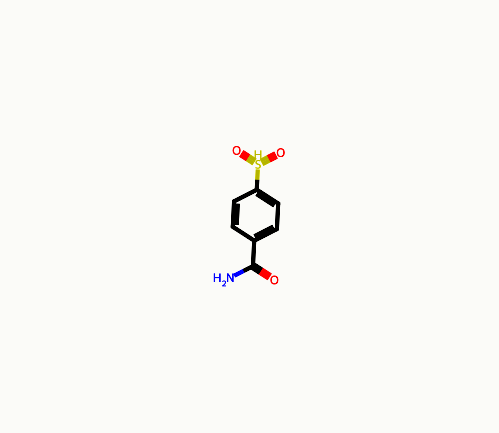 NC(=O)c1ccc([SH](=O)=O)cc1